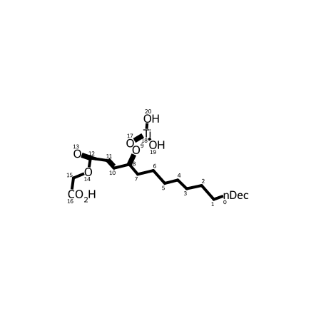 CCCCCCCCCCCCCCCCCC(=O)C=CC(=O)OCC(=O)O.[O]=[Ti]([OH])[OH]